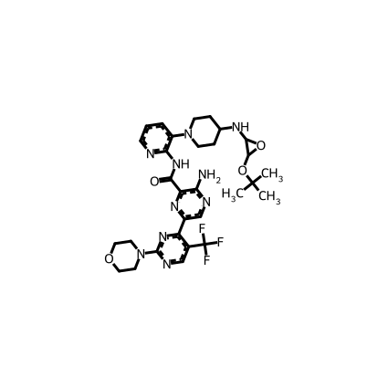 CC(C)(C)OC1OC1NC1CCN(c2cccnc2NC(=O)c2nc(-c3nc(N4CCOCC4)ncc3C(F)(F)F)cnc2N)CC1